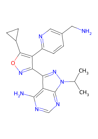 CC(C)n1nc(-c2noc(C3CC3)c2-c2ccc(CN)cn2)c2c(N)ncnc21